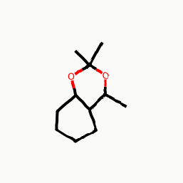 CC1OC(C)(C)OC2CCCCC12